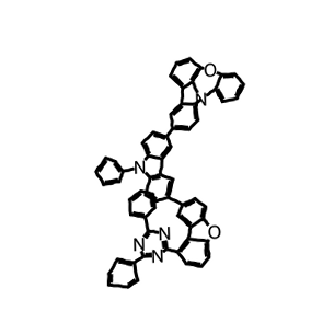 c1ccc(-c2nc(-c3ccccc3)nc(-c3cccc4oc5ccc(-c6ccc7c(c6)c6cc(-c8ccc9c(c8)c8cccc%10c8n9-c8ccccc8O%10)ccc6n7-c6ccccc6)cc5c34)n2)cc1